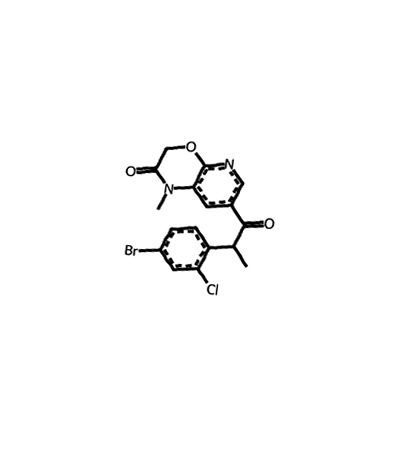 CC(C(=O)c1cnc2c(c1)N(C)C(=O)CO2)c1ccc(Br)cc1Cl